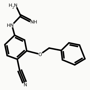 N#Cc1ccc(NC(=N)N)cc1OCc1ccccc1